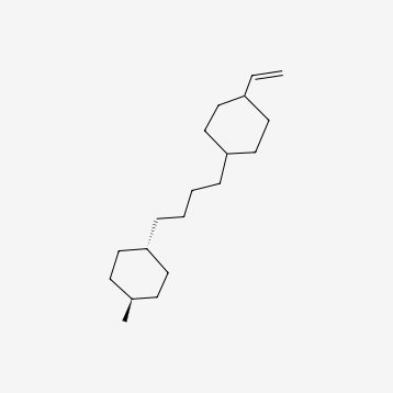 C=CC1CCC(CCCC[C@H]2CC[C@H](C)CC2)CC1